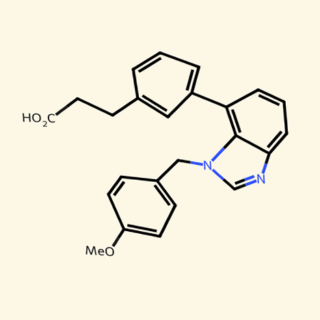 COc1ccc(Cn2cnc3cccc(-c4cccc(CCC(=O)O)c4)c32)cc1